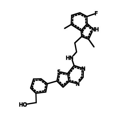 Cc1[nH]c2c(F)ccc(C)c2c1CCNc1ncnc2cc(-c3cccc(CO)c3)sc12